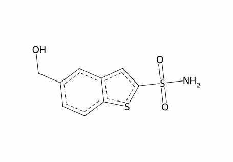 NS(=O)(=O)c1cc2cc(CO)ccc2s1